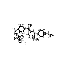 CC(C)CN1CCC(C2CN(C(=O)c3ccc4ccn(S(C)(=O)=O)c4c3)CCN2C(C)C)CC1